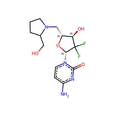 Nc1ccn([C@@H]2O[C@H](CN3CCCC3CO)[C@@H](O)C2(F)F)c(=O)n1